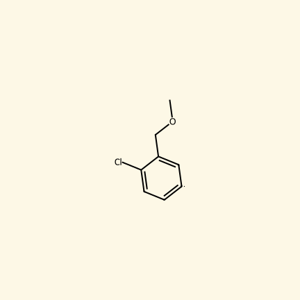 COCc1c[c]ccc1Cl